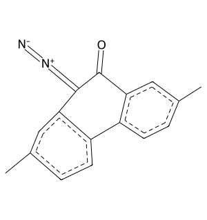 Cc1ccc2c(c1)C(=O)C(=[N+]=[N-])c1cc(C)ccc1-2